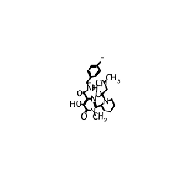 CN(C)CC(=O)N1CCCCC1c1nc(C(=O)NCc2ccc(F)cc2)c(O)c(=O)n1C